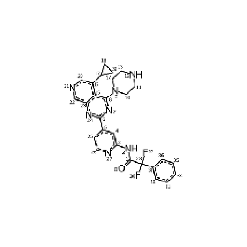 O=C(Nc1cc(-c2nc(N3CCNCC3)c3c(C4CC4)cncc3n2)ccn1)C(F)(F)c1ccccc1